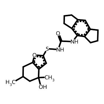 CC1Cc2oc(SNC(=O)Nc3c4c(cc5c3CCC5)CCC4)cc2C(C)(O)C1